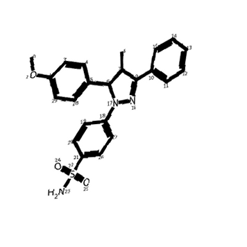 COc1ccc(C2C(C)C(c3ccccc3)=NN2c2ccc(S(N)(=O)=O)cc2)cc1